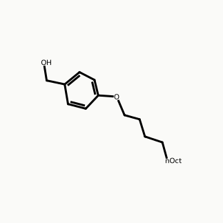 CCCCCCCCCCCCOc1ccc(CO)cc1